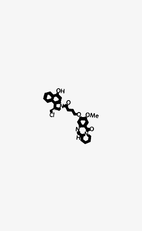 COc1cc2c(cc1OCCCC(=O)N1C[C@@H](CCl)c3c1cc(O)c1ccccc31)N=C[C@@H]1CCCCN1C2=O